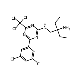 CCC(N)(CC)CNc1nc(-c2cc(Cl)cc(Cl)c2)nc(C(Cl)(Cl)Cl)n1